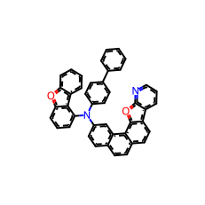 c1ccc(-c2ccc(N(c3ccc4ccc5ccc6c7cccnc7oc6c5c4c3)c3cccc4oc5ccccc5c34)cc2)cc1